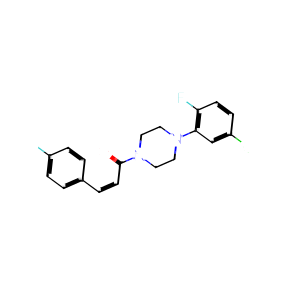 O=C(/C=C\c1ccc(F)cc1)N1CCN(c2cc(Cl)ccc2F)CC1